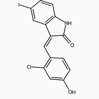 O=C1Nc2ccc(I)cc2C1=Cc1ccc(O)cc1Cl